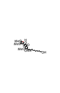 COc1ccc(-c2oc3c(OC)c(OC)c(CCCCCCCCCCCCO)cc3c(=O)c2O)cc1OC